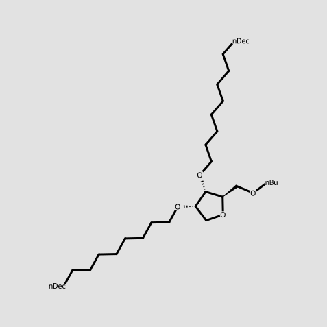 CCCCCCCCCCCCCCCCCCO[C@H]1[C@@H](OCCCCCCCCCCCCCCCCCC)CO[C@@H]1COCCCC